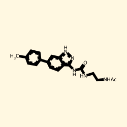 CC(=O)NCCNC(=O)Nc1n[nH]c2cc(-c3ccc(C)cc3)ccc12